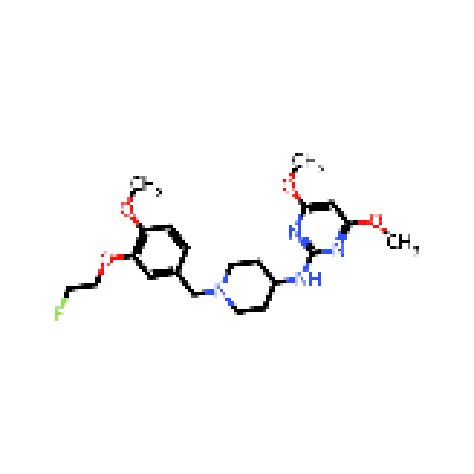 COc1cc(OC)nc(NC2CCN(Cc3ccc(OC)c(OCCF)c3)CC2)n1